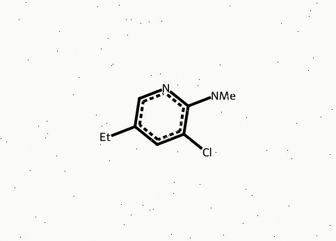 CCc1cnc(NC)c(Cl)c1